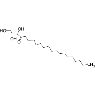 CCCCCCCCCCCCCCCCCC(=O)C(O)C(O)CO